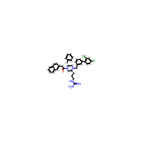 N=C(N)NCCC[C@H]1CN(C(=O)Cc2ccc3ccccc3c2)[C@H](Cc2ccccc2)CN1Cc1cccc(-c2ccc(Cl)cc2Cl)c1